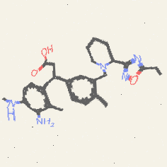 CCc1nc(C2CCCCN2Cc2cc(C(CC(=O)O)c3ccc(NC)c(N)c3C)ccc2C)no1